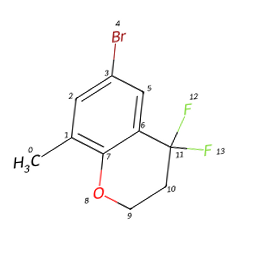 Cc1cc(Br)cc2c1OCCC2(F)F